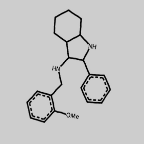 COc1ccccc1CNC1C(c2ccccc2)NC2CCCCC21